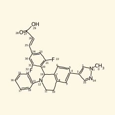 Cn1cc(-c2ccc3c(c2)CCN(c2ccccc2)C3c2c(F)cc(/C=C/C(=O)O)cc2F)cn1